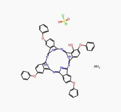 O=S(=O)(Cl)Cl.Oc1c(Oc2ccccc2)ccc2c3nc4nc(nc5[nH]c(nc6nc(nc([nH]3)c12)-c1ccc(Oc2ccccc2)cc1-6)c1ccc(Oc2ccccc2)cc51)-c1ccc(Oc2ccccc2)cc1-4.[AlH3]